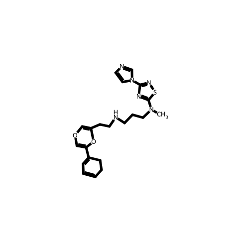 CN(CCCNCCC1=COC=C(C2=CC=CCC2)O1)c1nc(-n2ccnc2)ns1